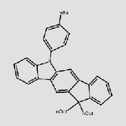 CCCCCCCCC1(CCCCCCCC)c2ccccc2-c2cc3c(cc21)c1ccccc1n3-c1ccc(CCCC)cc1